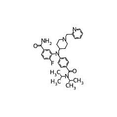 CC(C)N(C(=O)c1ccc(N(c2cc(C(N)=O)ccc2F)C2CCN(Cc3ccccn3)CC2)cc1)C(C)C